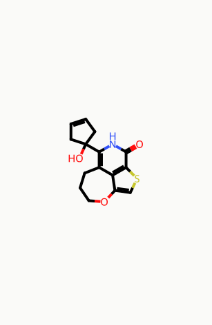 O=c1[nH]c(C2(O)CC=CC2)c2c3c(csc13)OCCC2